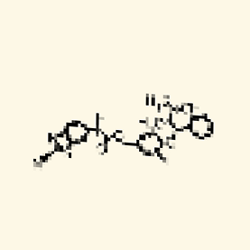 CC(C(Oc1ccc(COC(=O)Nc2ccc3nc(C#N)sc3c2)cc1I)c1ccccc1)N(C)C